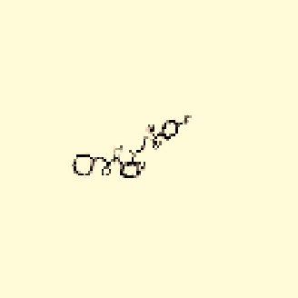 O=C(CC1CCCCCC1)Nc1cccnc1SCCS(=O)(=O)c1ccc(F)cc1